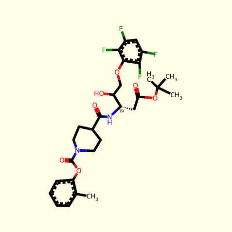 Cc1ccccc1OC(=O)N1CCC(C(=O)N[C@@H](CC(=O)OC(C)(C)C)C(O)COc2c(F)c(F)cc(F)c2F)CC1